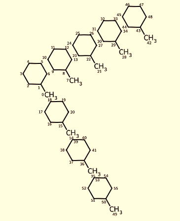 CC1CCCCC1.CC1CCCCC1.CC1CCCCC1.CC1CCCCC1.CC1CCCCC1.CC1CCCCC1.CC1CCCCC1.CC1CCCCC1